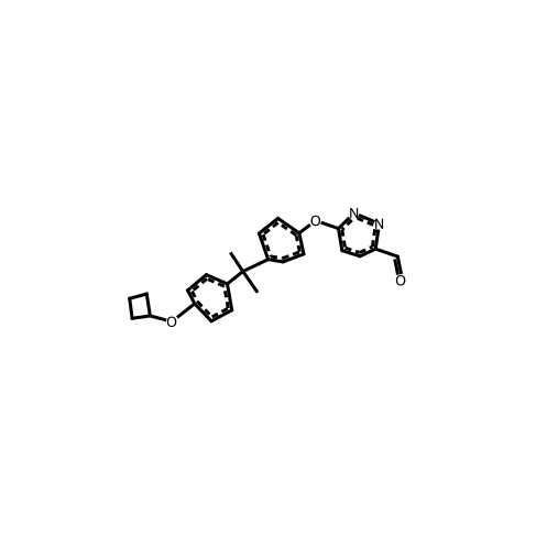 CC(C)(c1ccc(Oc2ccc(C=O)nn2)cc1)c1ccc(OC2CCC2)cc1